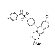 COC(=O)Cc1cc2ccc(Cl)cc2c(-c2ccc(S(=O)(=O)Nc3ccc(C)cc3)cc2)c1C